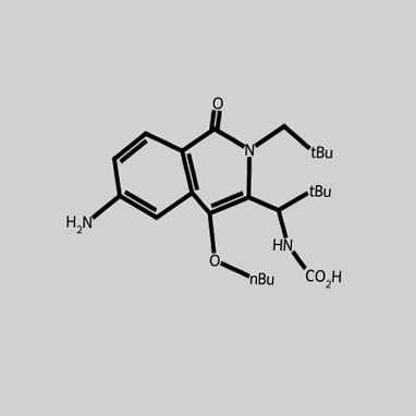 CCCCOc1c(C(NC(=O)O)C(C)(C)C)n(CC(C)(C)C)c(=O)c2ccc(N)cc12